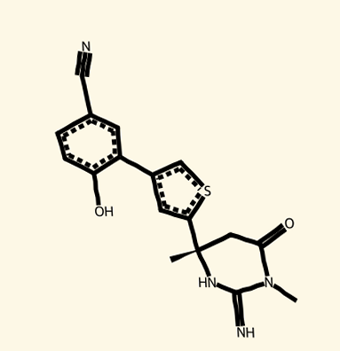 CN1C(=N)N[C@](C)(c2cc(-c3cc(C#N)ccc3O)cs2)CC1=O